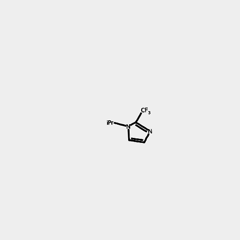 CC(C)n1ccnc1C(F)(F)F